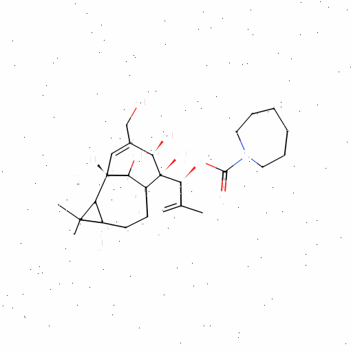 CC1=C[C@]23C(O)[C@@H](C=C(CO)[C@@H](O)[C@]2(O)[C@H]1OC(=O)N1CCCCCC1)[C@H]1[C@@H](C[C@H]3C)C1(C)C